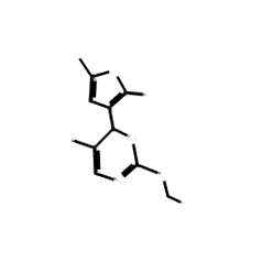 CCNC1=NC=C(Cl)C(c2cc(C)sc2C)N1